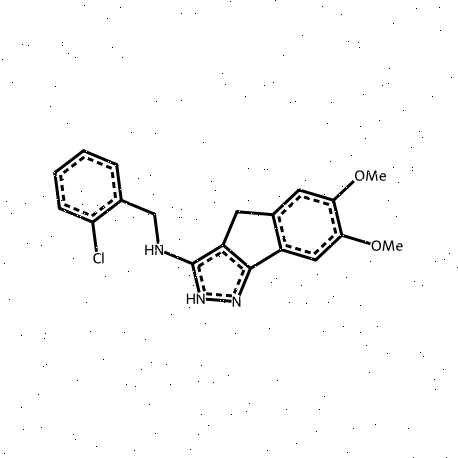 COc1cc2c(cc1OC)-c1n[nH]c(NCc3ccccc3Cl)c1C2